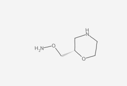 NOC[C@@H]1CNCCO1